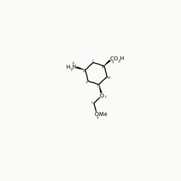 COCO[C@H]1C[C@@H](N)C[C@@H](C(=O)O)C1